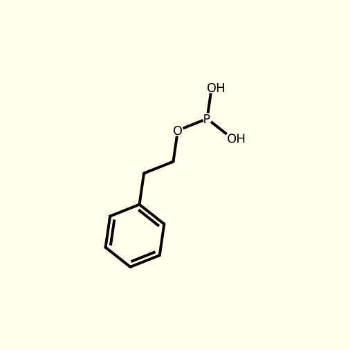 OP(O)OCCc1ccccc1